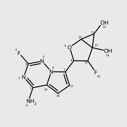 Nc1nc(F)nn2c(C3OC4C(O)C4(O)C3F)ccc12